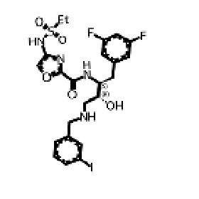 CCS(=O)(=O)Nc1coc(C(=O)N[C@@H](Cc2cc(F)cc(F)c2)[C@H](O)CNCc2cccc(I)c2)n1